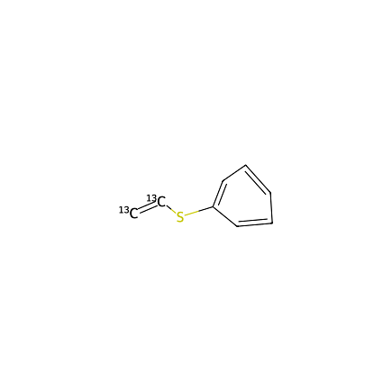 [13CH2]=[13CH]Sc1ccccc1